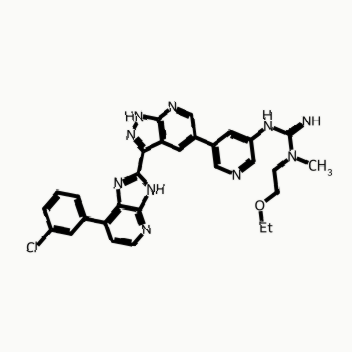 CCOCCN(C)C(=N)Nc1cncc(-c2cnc3[nH]nc(-c4nc5c(-c6cccc(Cl)c6)ccnc5[nH]4)c3c2)c1